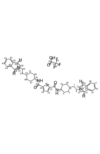 O=C(NC1CCC(CCN2[C@@H]3CC[C@H]2c2ccccc23)CC1)c1ccc(C(=O)NC2CCC(CCN3[C@@H]4CC[C@H]3c3ccccc34)CC2)s1.O=C(O)C(F)(F)F